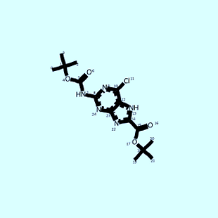 CC(C)(C)OC(=O)Nc1nc(Cl)c2[nH]c(C(=O)OC(C)(C)C)nc2n1